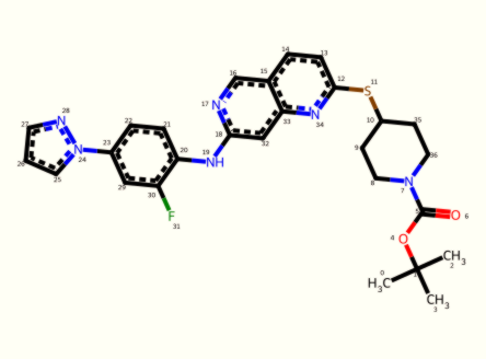 CC(C)(C)OC(=O)N1CCC(Sc2ccc3cnc(Nc4ccc(-n5cccn5)cc4F)cc3n2)CC1